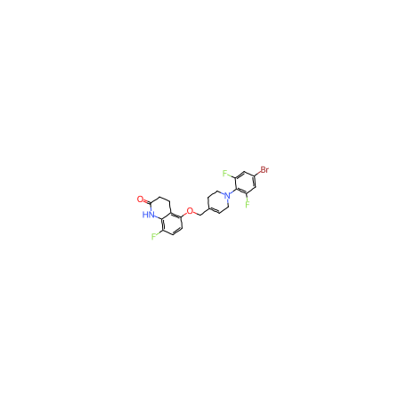 O=C1CCc2c(OCC3=CCN(c4c(F)cc(Br)cc4F)CC3)ccc(F)c2N1